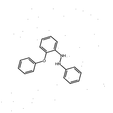 c1ccc(NNc2ccccc2Oc2ccccc2)cc1